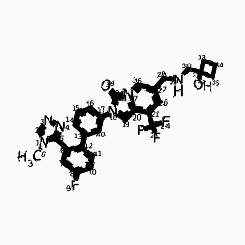 Cn1cnnc1-c1cc(F)ccc1-c1cccc(-n2cc3c(C(F)(F)F)cc(CNCC4(O)CCC4)cn3c2=O)c1